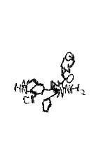 Nc1nc(-c2ccccc2)c(-c2cc(Cl)c3[nH]ncc3c2)nc1C(=O)CN1CCOCC1